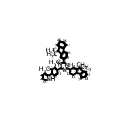 CC1C=C(C2N=C(C3C=C4C(CC3)c3ccccc3C4(C)C)NC(c3ccc4c(c3)C(C)(C)c3ccccc3-4)N2C)C=CC1C1=CC=CCN1